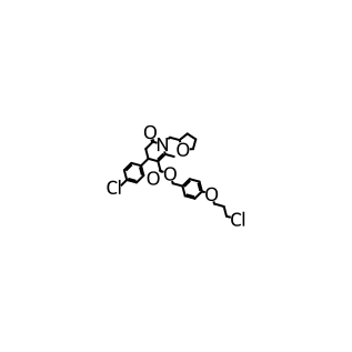 CC1=C(C(=O)OCc2ccc(OCCCCl)cc2)C(c2ccc(Cl)cc2)CC(=O)N1CC1CCCO1